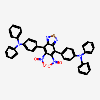 O=[N+]([O-])c1c([N+](=O)[O-])c(-c2ccc(N(c3ccccc3)c3ccccc3)cc2)c2nsnc2c1-c1ccc(N(c2ccccc2)c2ccccc2)cc1